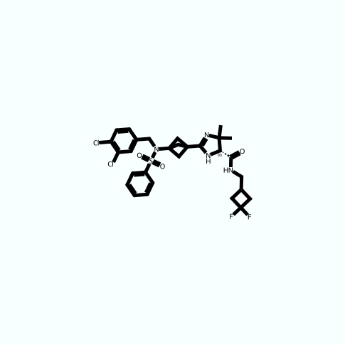 CC1(C)N=C(C23CC(N(Cc4ccc(Cl)c(Cl)c4)S(=O)(=O)c4ccccc4)(C2)C3)N[C@H]1C(=O)NCC1CC(F)(F)C1